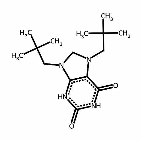 CC(C)(C)CN1CN(CC(C)(C)C)c2c1[nH]c(=O)[nH]c2=O